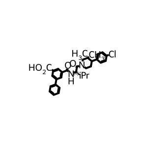 CC(C)[C@@H](NC(=O)c1cc(C(=O)O)cc(-c2ccccc2)c1)C(=O)N1CCC(c2ccc(Cl)cc2)C(C)(C)C1